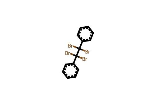 BrC(Br)(c1ccccc1)C(Br)(Br)c1ccccc1